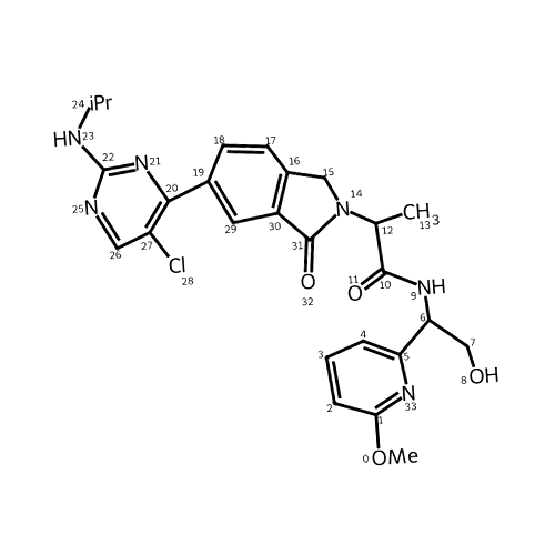 COc1cccc(C(CO)NC(=O)C(C)N2Cc3ccc(-c4nc(NC(C)C)ncc4Cl)cc3C2=O)n1